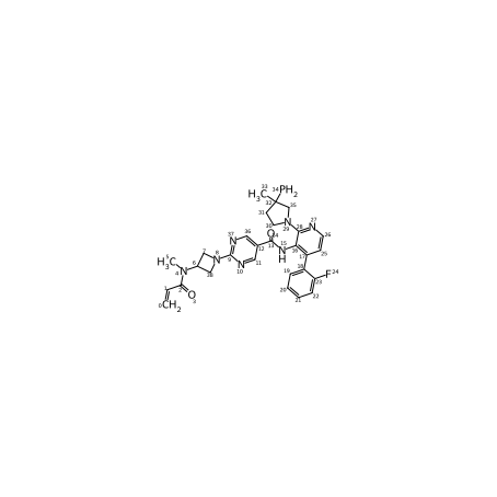 C=CC(=O)N(C)C1CN(c2ncc(C(=O)Nc3c(-c4ccccc4F)ccnc3N3CCC(C)(P)C3)cn2)C1